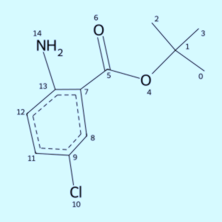 CC(C)(C)OC(=O)c1cc(Cl)ccc1N